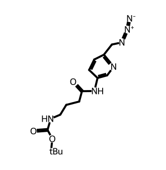 CC(C)(C)OC(=O)NCCCC(=O)Nc1ccc(CN=[N+]=[N-])nc1